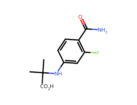 CC(C)(Nc1ccc(C(N)=O)c(F)c1)C(=O)O